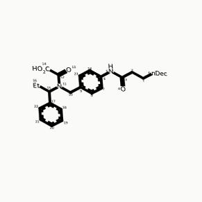 CCCCCCCCCCCCC(=O)Nc1ccc(CN(C(=O)C(=O)O)C(CC)c2ccccc2)cc1